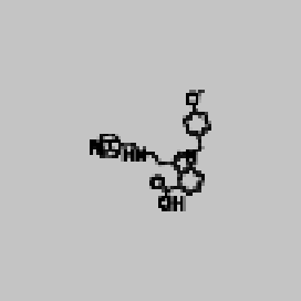 COc1ccc(Cn2cc(CCNCC34CCN(CC3)CC4)c3c(C(=O)O)cccc32)cc1